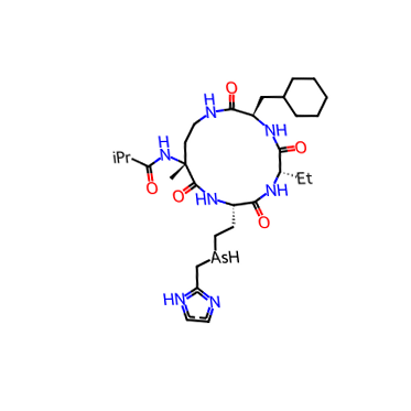 CC[C@@H]1NC(=O)[C@H](CC[AsH]Cc2ncc[nH]2)NC(=O)[C@](C)(NC(=O)C(C)C)CCNC(=O)[C@@H](CC2CCCCC2)NC1=O